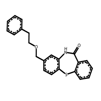 O=C1Nc2cc(COCCc3ccccc3)ccc2Sc2ccccc21